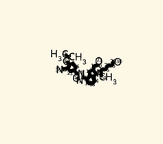 CC(C)Oc1ccc(-c2nc(-c3cccc4c3CC(CC=O)C4N(C)CCCCC=O)no2)cc1C#N